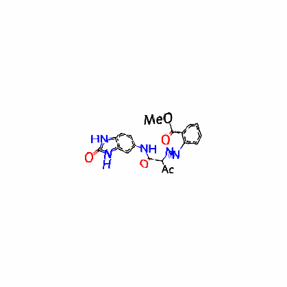 COC(=O)c1ccccc1/N=N/C(C(C)=O)C(=O)Nc1ccc2[nH]c(=O)[nH]c2c1